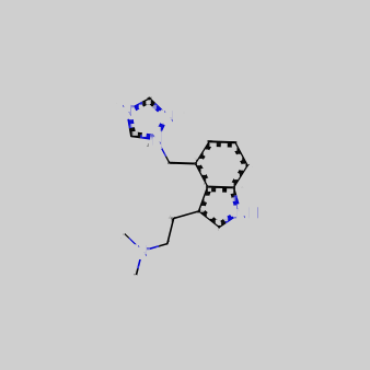 CN(C)CCc1c[nH]c2cccc(Cn3cncn3)c12